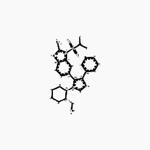 CC(C)S(=O)(=O)n1c(N)nc2ccc(-c3c(-c4ccccc4)ncn3[C@@H]3CCCC[C@H]3CO)cc21